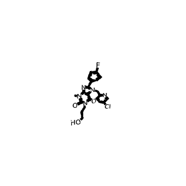 Cn1c(=O)n(CCCO)c(=O)c2c1nc(-c1ccc(F)cc1)n2Cc1ccc(Cl)cn1